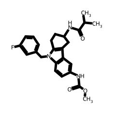 COC(=O)Nc1ccc2c(c1)c1c(n2Cc2cccc(F)c2)CCC(NC(=O)C(C)C)C1